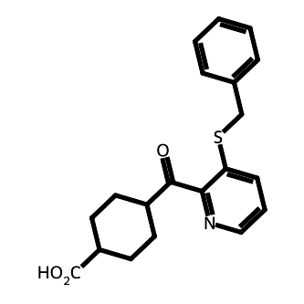 O=C(O)C1CCC(C(=O)c2ncccc2SCc2ccccc2)CC1